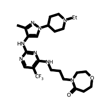 CCN1CCC(n2cc(Nc3ncc(C(F)(F)F)c(NCCCN4CCOCCC4=O)n3)c(C)n2)CC1